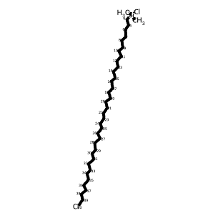 C[Si](C)(Cl)CCCCCCCCCCCCCCCCCCCCCCCCCCCCCCCCCCCCCl